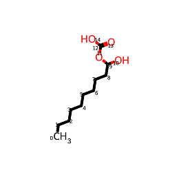 CCCCCCCCCC(O)OC(=O)O